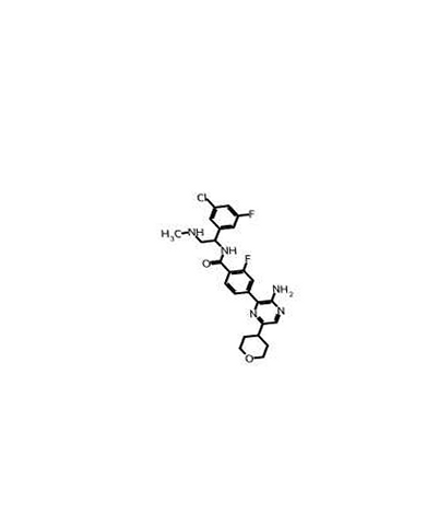 CNCC(NC(=O)c1ccc(-c2nc(C3CCOCC3)cnc2N)cc1F)c1cc(F)cc(Cl)c1